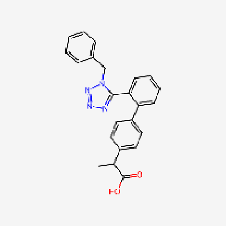 CC(C(=O)O)c1ccc(-c2ccccc2-c2nnnn2Cc2ccccc2)cc1